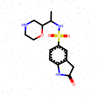 CC(NS(=O)(=O)c1ccc2c(c1)CC(=O)N2)C1CNCCO1